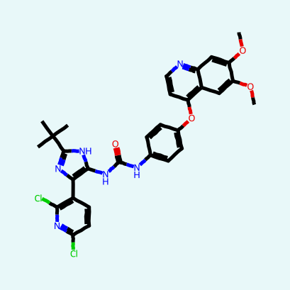 COc1cc2nccc(Oc3ccc(NC(=O)Nc4[nH]c(C(C)(C)C)nc4-c4ccc(Cl)nc4Cl)cc3)c2cc1OC